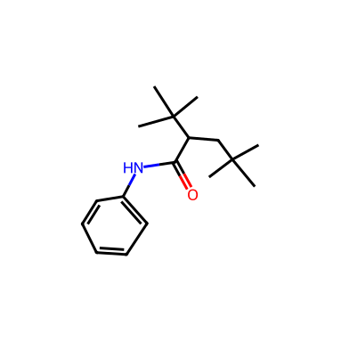 CC(C)(C)CC(C(=O)Nc1ccccc1)C(C)(C)C